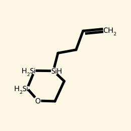 C=CCC[SiH]1CCO[SiH2][SiH2]1